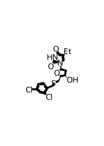 CCc1cn([C@H]2C[C@H](O)[C@@H](CSCc3ccc(Cl)cc3Cl)O2)c(=O)[nH]c1=O